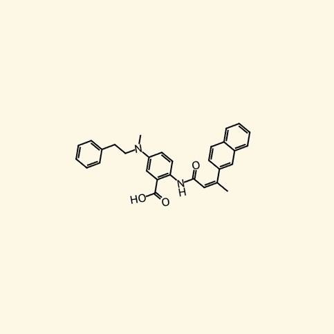 C/C(=C/C(=O)Nc1ccc(N(C)CCc2ccccc2)cc1C(=O)O)c1ccc2ccccc2c1